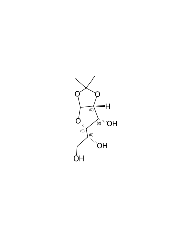 CC1(C)OC2O[C@@H]([C@H](O)CO)[C@@H](O)[C@H]2O1